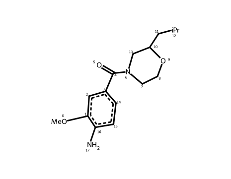 COc1cc(C(=O)N2CCOC(CC(C)C)C2)ccc1N